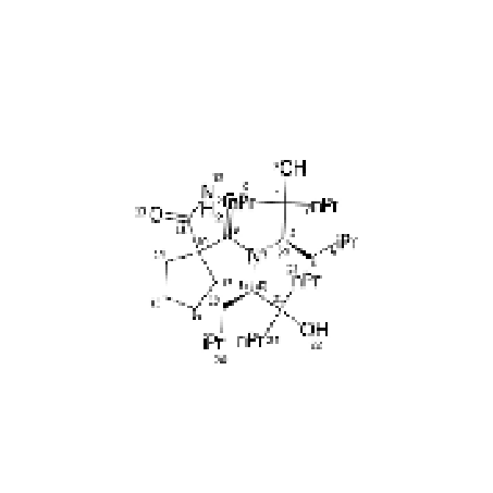 CCCC(O)(CCC)[C@@H](CC(C)C)N(C(=O)C1(C(N)=O)CCCC1)[C@H](CC(C)C)C(O)(CCC)CCC